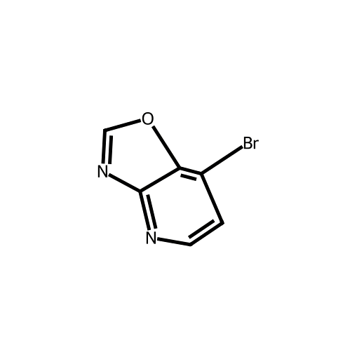 Brc1ccnc2ncoc12